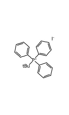 CC(C)(C)[P+](c1ccccc1)(c1ccccc1)c1ccccc1.[I-]